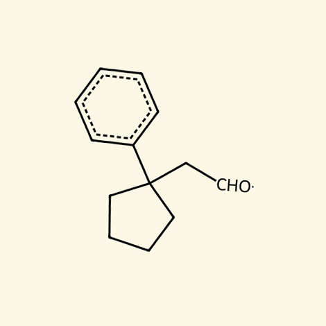 O=[C]CC1(c2ccccc2)CCCC1